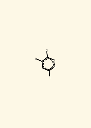 Clc1nnc(I)cc1I